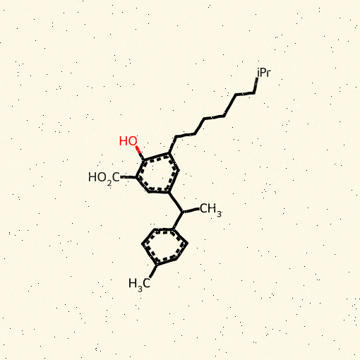 Cc1ccc(C(C)c2cc(CCCCCCC(C)C)c(O)c(C(=O)O)c2)cc1